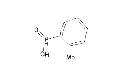 O=[PH](O)c1ccccc1.[Mo]